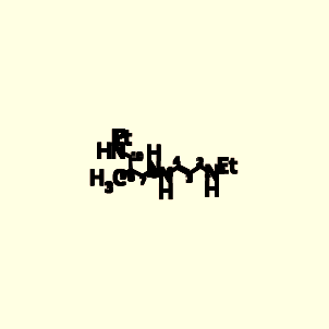 CCNC/C=C/NNCC(C)CNCC